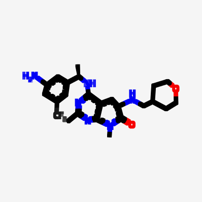 Cc1nc(N[C@H](C)c2cc(N)cc(C(F)(F)F)c2)c2cc(NCC3CCOCC3)c(=O)n(C)c2n1